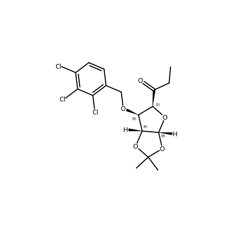 CCC(=O)[C@H]1O[C@@H]2OC(C)(C)O[C@@H]2[C@H]1OCc1ccc(Cl)c(Cl)c1Cl